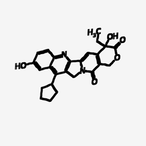 CCC1(O)C(=O)OCc2c1cc1n(c2=O)Cc2c-1nc1ccc(O)cc1c2C1CCCC1